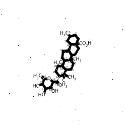 CC1CCC2(C(=O)O)CCC3C(=CCC4C3(C)CCC3C4(C)CC[C@@H](C(=O)C4OC(C)C(O)C(O)C4O)C3(C)C)C2C1